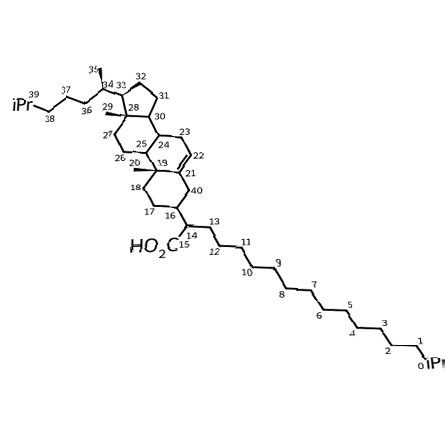 CC(C)CCCCCCCCCCCCCC(C(=O)O)C1CC[C@@]2(C)C(=CCC3C2CC[C@@]2(C)C3CC[C@@H]2[C@H](C)CCCC(C)C)C1